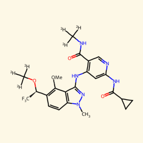 [2H]C([2H])([2H])NC(=O)c1cnc(NC(=O)C2CC2)cc1Nc1nn(C)c2ccc([C@H](OC([2H])([2H])[2H])C(F)(F)F)c(OC)c12